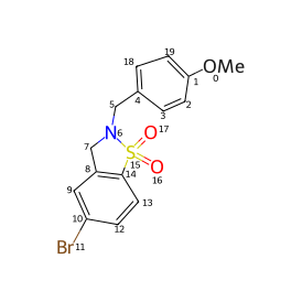 COc1ccc(CN2Cc3cc(Br)ccc3S2(=O)=O)cc1